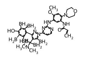 Bc1c(B)c(-c2nn(-c3ccnc(Nc4cc(NC(=O)C=C)c(N5CCOCC5)cc4OC)n3)c(B)c2C(B)(B)N(C)C)c(B)c(B)c1O